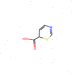 O=C(O)C1C=CN=CS1